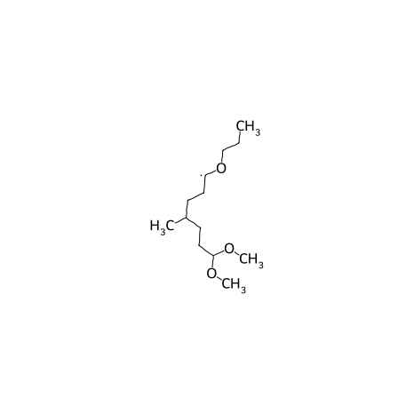 CCCO[CH]CCC(C)CCC(OC)OC